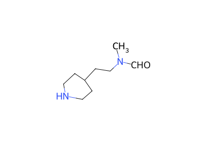 CN(C=O)CCC1CCNCC1